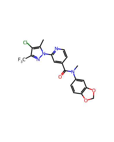 Cc1c(Cl)c(C(F)(F)F)nn1-c1cc(C(=O)N(C)c2ccc3c(c2)OCO3)ccn1